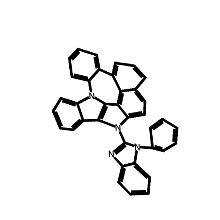 c1ccc(-n2c(-n3c4ccc5cccc6c7ccccc7n7c8ccccc8c3c7c4c56)nc3ccccc32)cc1